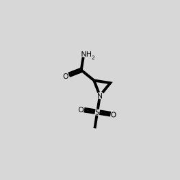 CS(=O)(=O)N1CC1C(N)=O